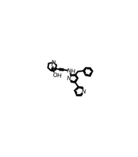 OC1(C#CNc2ncc(-c3cccnc3)cc2Cc2ccccc2)CN2CCC1CC2